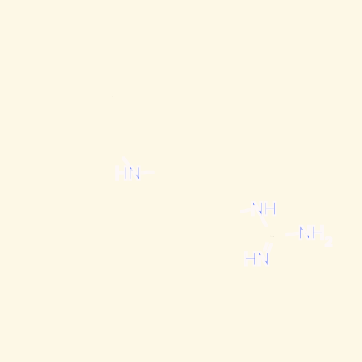 N=C(N)NCCCCNc1cccc2ccccc12